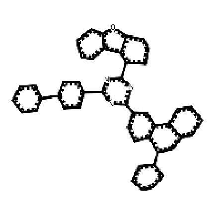 c1ccc(-c2ccc(-c3nc(-c4ccc5c(-c6ccccc6)cc6ccccc6c5c4)nc(-c4cccc5oc6ccccc6c45)n3)cc2)cc1